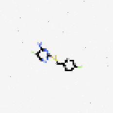 Nc1nc(SCc2ccc(F)cc2)ncc1F